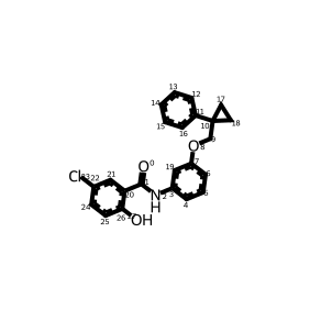 O=C(Nc1cccc(OCC2(c3ccccc3)CC2)c1)c1cc(Cl)ccc1O